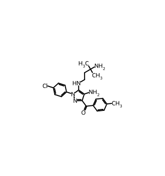 Cc1ccc(C(=O)c2nn(-c3ccc(Cl)cc3)c(NCCC(C)(C)N)c2N)cc1